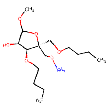 CCCCOC[C@@]1(CON)OC(OC)[C@H](O)[C@@H]1OCCCC